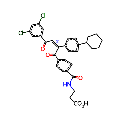 O=C(O)CCNC(=O)c1ccc(C(=O)/C(=C\C(=O)c2cc(Cl)cc(Cl)c2)c2ccc(C3CCCCC3)cc2)cc1